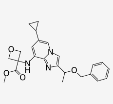 COC(=O)C1(Nc2cc(C3CC3)cn3cc(C(C)OCc4ccccc4)nc23)COC1